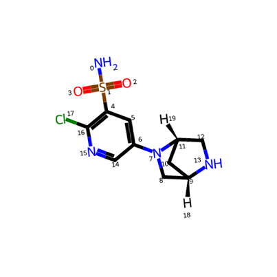 NS(=O)(=O)c1cc(N2C[C@@H]3C[C@H]2CN3)cnc1Cl